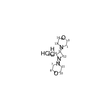 C1CN(C2CN(N3CCOCC3)C2)CCO1.Cl.Cl